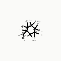 C[C@@H](O)C1(F)C(F)(F)C(F)(F)C(F)(F)C(F)(F)C1(F)F